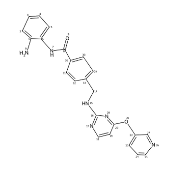 Nc1ccccc1NC(=O)c1ccc(CNc2nccc(Oc3cccnc3)n2)cc1